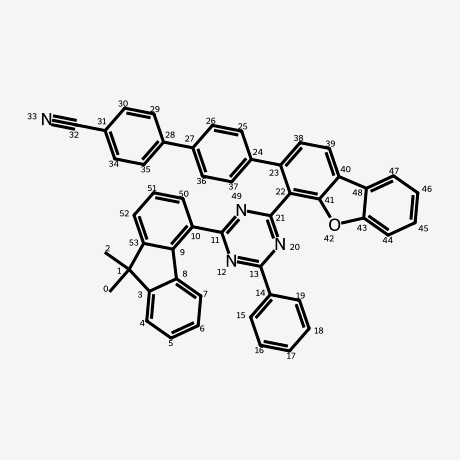 CC1(C)c2ccccc2-c2c(-c3nc(-c4ccccc4)nc(-c4c(-c5ccc(-c6ccc(C#N)cc6)cc5)ccc5c4oc4ccccc45)n3)cccc21